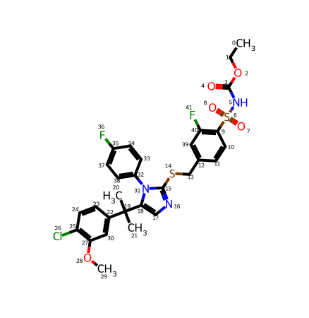 CCOC(=O)NS(=O)(=O)c1ccc(CSc2ncc(C(C)(C)c3ccc(Cl)c(OC)c3)n2-c2ccc(F)cc2)cc1F